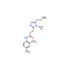 Cc1ccc(NC(=O)CCc2nnc(CCC(C)(C)C)n2C2CC2)c(C)c1